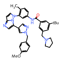 COc1ccc(Cn2cc(-c3cnc4ccn(-c5cc(NC(=O)c6cc(CN7CCCC7)cc(C(C)(C)C)c6)ccc5C)n34)cn2)cc1